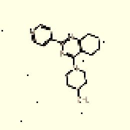 CC1CCN(c2nc(-c3ccncc3)nc3c2CCCC3)CC1